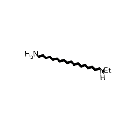 CCNCCCCCCCCCCCCCCCCCCN